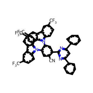 N#Cc1cc(-n2c3ccc(C(F)(F)F)cc3c3cc(C(F)(F)F)ccc32)c(-n2c3ccc(C(F)(F)F)cc3c3cc(C(F)(F)F)ccc32)cc1-c1nc(-c2ccccc2)cc(-c2ccccc2)n1